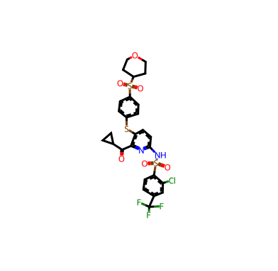 O=C(c1nc(NS(=O)(=O)c2ccc(C(F)(F)F)cc2Cl)ccc1Sc1ccc(S(=O)(=O)C2CCOCC2)cc1)C1CC1